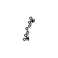 c1ccc(-c2nccn2-c2cccc3c2Cc2ccc(-c4cccc(-c5ccc6c(c5)-c5cccc(-n7ccnc7-c7ccccc7)c5C6)c4)cc2-3)cc1